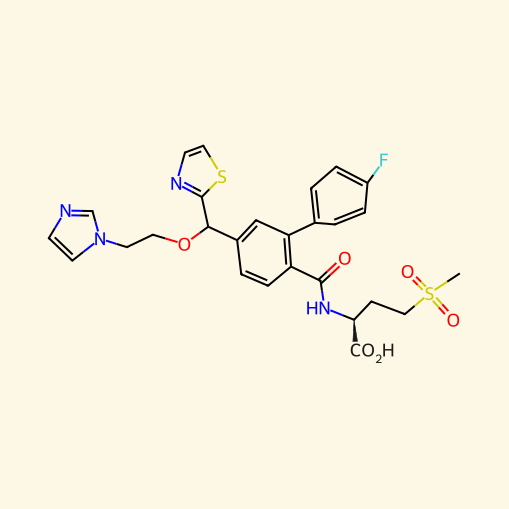 CS(=O)(=O)CC[C@H](NC(=O)c1ccc(C(OCCn2ccnc2)c2nccs2)cc1-c1ccc(F)cc1)C(=O)O